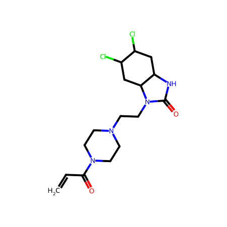 C=CC(=O)N1CCN(CCN2C(=O)NC3CC(Cl)C(Cl)CC32)CC1